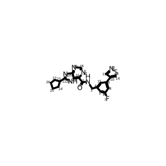 O=C(NCc1cc(F)cc(-c2cnsc2)c1)c1ncnc2nc(C3CCCC3)[nH]c12